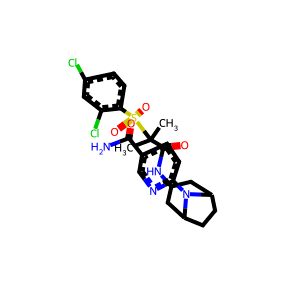 CC(C)(C(=O)NC1CC2CCC(C1)N2c1ccc(C(N)=O)cn1)S(=O)(=O)c1ccc(Cl)cc1Cl